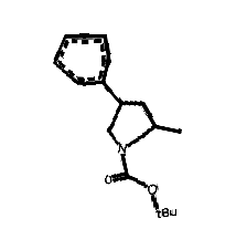 CC1CC(c2ccccc2)CN1C(=O)OC(C)(C)C